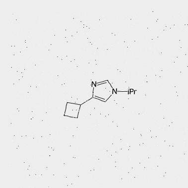 CC(C)n1cnc(C2CCC2)c1